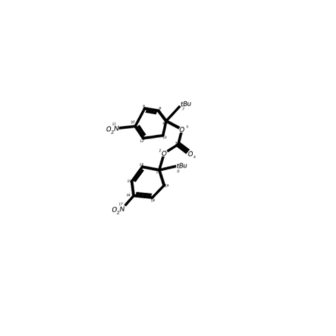 CC(C)(C)C1(OC(=O)OC2(C(C)(C)C)C=CC([N+](=O)[O-])=CC2)C=CC([N+](=O)[O-])=CC1